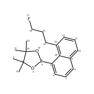 CC1(C)OB(c2cccc3cccc(CCCF)c23)OC1(C)C